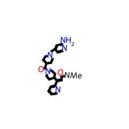 CNC(=O)/C=C(/c1ccccn1)C1CCN(C(=O)C2CCN(Cc3ccnc(N)c3)CC2)CC1